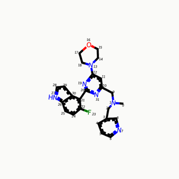 CN(Cc1cccnc1)Cc1cc(N2CCOCC2)nc(-c2c(F)ccc3[nH]ccc23)n1